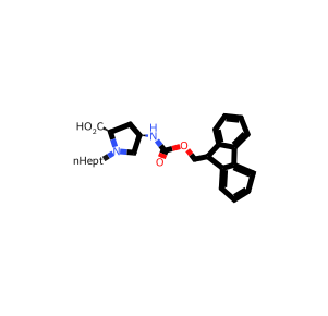 CCCCCCCN1C[C@@H](NC(=O)OCC2c3ccccc3-c3ccccc32)C[C@H]1C(=O)O